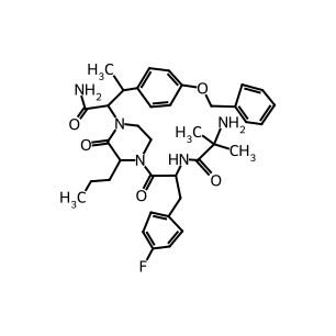 CCCC1C(=O)N(C(C(N)=O)C(C)c2ccc(OCc3ccccc3)cc2)CCN1C(=O)C(Cc1ccc(F)cc1)NC(=O)C(C)(C)N